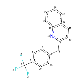 FC(F)(F)c1ccc(Cc2ccc3ccccc3n2)cc1